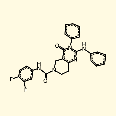 O=C(Nc1ccc(F)c(F)c1)N1CCc2nc(Nc3ccccc3)n(-c3ccccc3)c(=O)c2C1